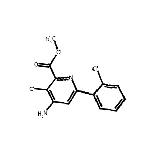 COC(=O)c1nc(-c2ccccc2Cl)cc(N)c1Cl